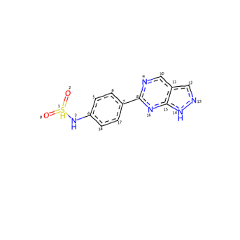 O=[SH](=O)Nc1ccc(-c2ncc3cn[nH]c3n2)cc1